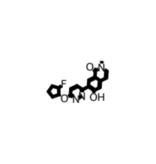 Cn1ccc2cc(O)c(-c3ccc(O[C@H]4CCCC4F)nn3)cc2c1=O